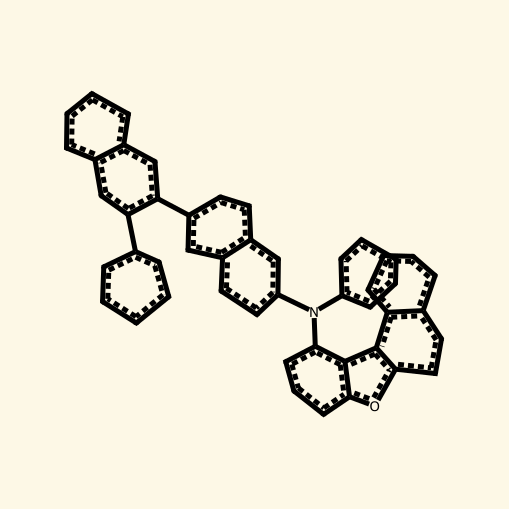 c1ccc(-c2cc3ccccc3cc2-c2ccc3cc(N(c4ccccc4)c4cccc5oc6ccc7ccccc7c6c45)ccc3c2)cc1